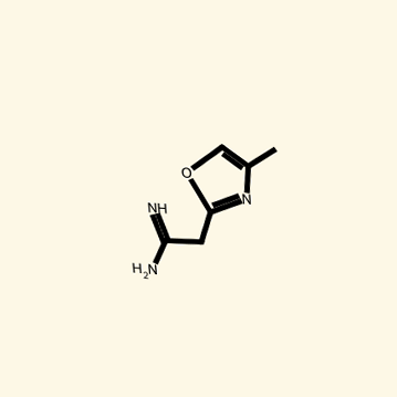 Cc1coc(CC(=N)N)n1